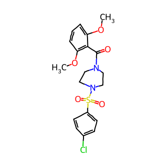 COc1cccc(OC)c1C(=O)N1CCN(S(=O)(=O)c2ccc(Cl)cc2)CC1